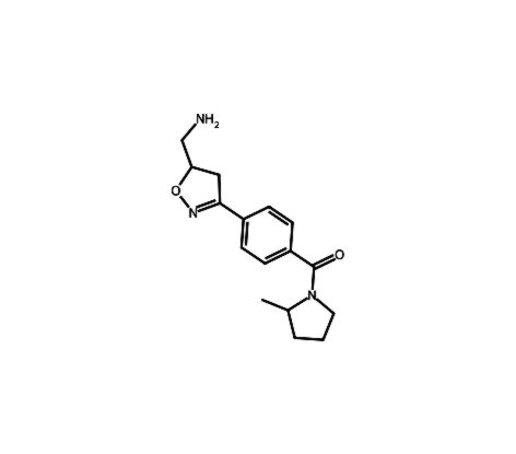 CC1CCCN1C(=O)c1ccc(C2=NOC(CN)C2)cc1